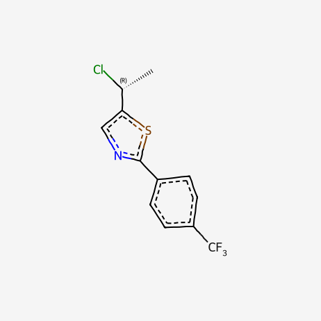 C[C@@H](Cl)c1cnc(-c2ccc(C(F)(F)F)cc2)s1